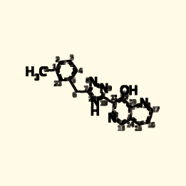 Cc1cccc(Cc2nnc(-c3ncc4cccnc4c3O)[nH]2)c1